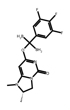 BC(B)(Oc1cc2n(c(=O)n1)C[C@H](C)N2C)c1cc(F)c(F)c(F)c1